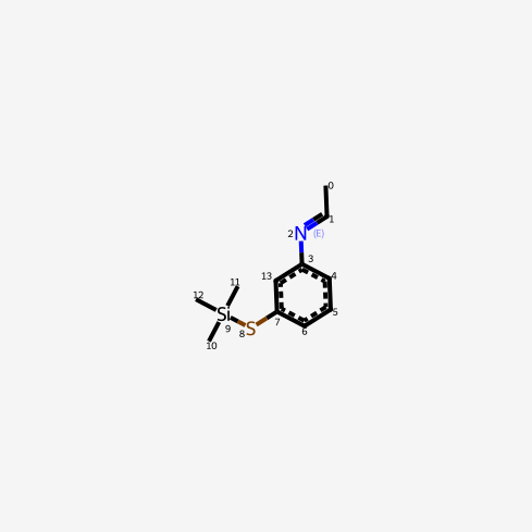 C/C=N/c1cccc(S[Si](C)(C)C)c1